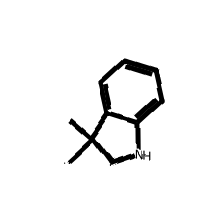 [CH2]C1(C)CNc2ccccc21